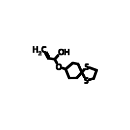 C=CC(O)OC1CCC2(CC1)SCCS2